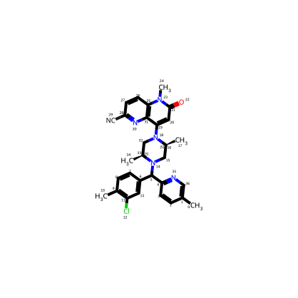 Cc1ccc(C(c2ccc(C)c(Cl)c2)N2C[C@H](C)N(c3cc(=O)n(C)c4ccc(C#N)nc34)C[C@@H]2C)nc1